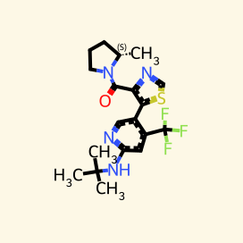 C[C@H]1CCCN1C(=O)c1ncsc1-c1cnc(NC(C)(C)C)cc1C(F)(F)F